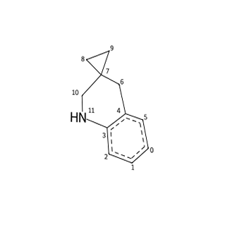 c1ccc2c(c1)CC1(CC1)CN2